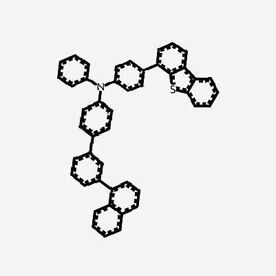 c1ccc(N(c2ccc(-c3cccc(-c4cccc5ccccc45)c3)cc2)c2ccc(-c3cccc4c3sc3ccccc34)cc2)cc1